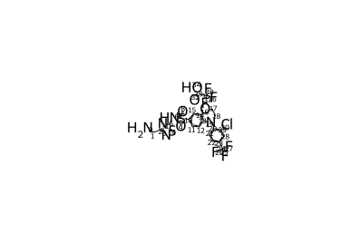 NCc1nsc(NS(=O)(=O)c2ccc3c(c2)OCCN3c2ccc(C(F)(F)F)cc2Cl)n1.O=C(O)C(F)(F)F